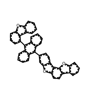 c1ccc2c(c1)oc1c2ccc2oc3cc(-c4c5ccccc5c(-c5cccc6oc7ccccc7c56)c5ccccc45)ccc3c21